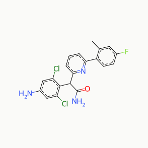 Cc1cc(F)ccc1-c1cccc(C(C(N)=O)c2c(Cl)cc(N)cc2Cl)n1